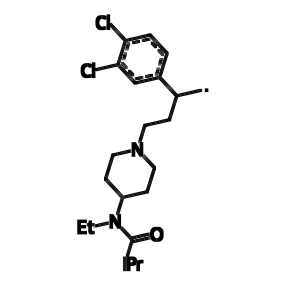 [CH2]C(CCN1CCC(N(CC)C(=O)C(C)C)CC1)c1ccc(Cl)c(Cl)c1